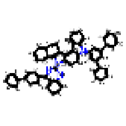 c1ccc(-c2ccc(-c3nc(-n4c5ccc6c(c7ccccc7n6-c6cc(-c7ccccc7)cc(-c7ccccc7)c6)c5c5ccc6ccccc6c54)nc4ccccc34)cc2)cc1